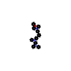 c1ccc(N(c2ccc(-c3cccc(-c4ccc(N(c5ccccc5)c5cccc6c5oc5ccccc56)cc4)c3)cc2)c2ccc3c(c2)c2ccccc2n3-c2ccccc2)cc1